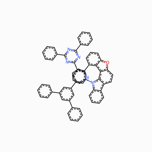 c1ccc(-c2cc(-c3ccccc3)cc(-c3cnc(-c4cccc5oc6ccc7c8ccccc8n(-c8ccccc8)c7c6c45)c(-c4nc(-c5ccccc5)nc(-c5ccccc5)n4)c3)c2)cc1